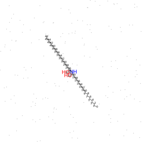 CCCCCCCCCCCCCCCCCCCCCC(O)NC(O)CCCCCCCCCCCCCCCCCCCCC